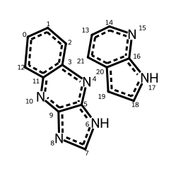 c1ccc2nc3[nH]cnc3nc2c1.c1cnc2[nH]ccc2c1